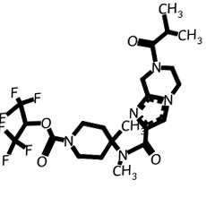 CC(C)C(=O)N1CCn2cc(C(=O)N(C)C3(C)CCN(C(=O)OC(C(F)(F)F)C(F)(F)F)CC3)nc2C1